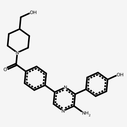 Nc1ncc(-c2ccc(C(=O)N3CCC(CO)CC3)cc2)nc1-c1ccc(O)cc1